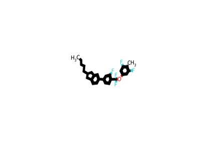 CCCCCC1Cc2ccc(-c3ccc(C(F)(F)Oc4cc(F)c(C)c(F)c4)c(F)c3)cc2C1